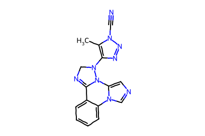 Cc1c(N2CN=C3c4ccccc4-n4cncc4N32)nnn1C#N